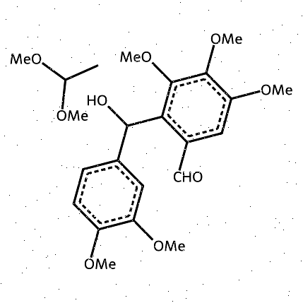 COC(C)OC.COc1ccc(C(O)c2c(C=O)cc(OC)c(OC)c2OC)cc1OC